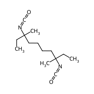 CCC(C)(CCCCC(C)(CC)N=C=O)N=C=O